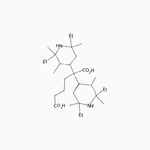 CCC1(C)CC(C(CCCC(=O)O)(C(=O)O)C2CC(C)(CC)NC(C)(CC)C2C)C(C)C(C)(CC)N1